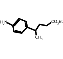 CCOC(=O)CCC(C)c1ccc(N)cc1